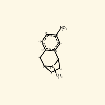 CN1C2CCC1c1cc([N+](=O)[O-])cnc1C2